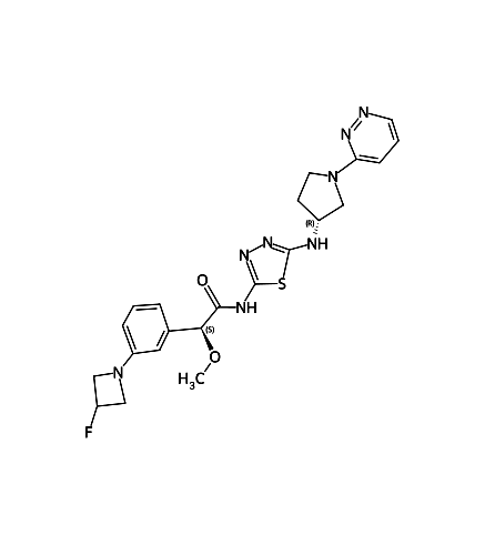 CO[C@H](C(=O)Nc1nnc(N[C@@H]2CCN(c3cccnn3)C2)s1)c1cccc(N2CC(F)C2)c1